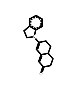 O=C1C=C2C=C(N3CCc4ccccc43)CCC2CC1